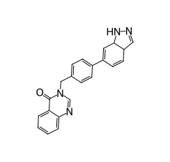 O=c1c2ccccc2ncn1Cc1ccc(C2=CC3NN=CC3C=C2)cc1